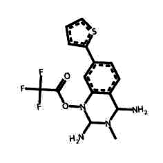 CN1C(N)c2ccc(-c3cccs3)cc2N(OC(=O)C(F)(F)F)C1N